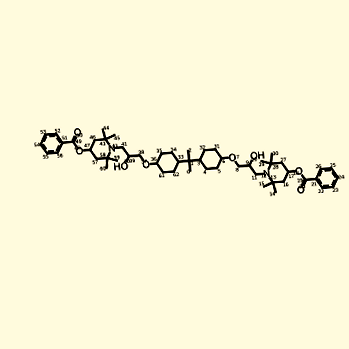 CC(C)(C1CCC(OCC(O)CN2C(C)(C)CC(OC(=O)c3ccccc3)CC2(C)C)CC1)C1CCC(OCC(O)CN2C(C)(C)CC(OC(=O)c3ccccc3)CC2(C)C)CC1